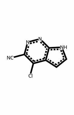 N#Cc1nnc2[nH]ccc2c1Cl